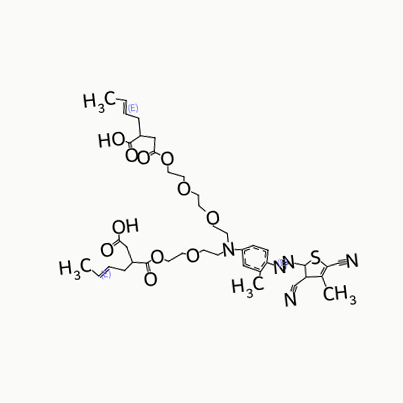 C/C=C/CC(CC(=O)OCCOCCOCCN(CCOCCOC(=O)C(C/C=C/C)CC(=O)O)c1ccc(/N=N/C2SC(C#N)=C(C)C2C#N)c(C)c1)C(=O)O